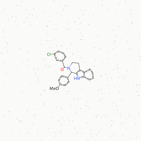 COc1ccc(C2c3[nH]c4ccccc4c3CCN2C(=O)c2cccc(Cl)c2)cc1